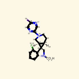 O=C(O)NC[C@]1(c2ccccc2F)[C@@H]2CCN(c3cnc(I)cn3)C[C@@H]21